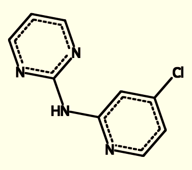 Clc1ccnc(Nc2ncccn2)c1